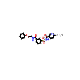 O=C(NCCOc1ccccc1)c1cccc(S(=O)(=O)NC(=O)c2ccc(C(=O)O)nc2)c1